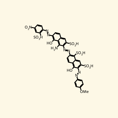 COc1ccc(N=Nc2c(S(=O)(=O)O)cc3c(S(=O)(=O)O)c(N=Nc4c(S(=O)(=O)O)cc5ccc(N=Nc6ccc([N+](=O)[O-])cc6S(=O)(=O)O)c(O)c5c4N)ccc3c2O)cc1